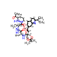 COC(=O)C1CCCN(C(=O)[C@H](C)NC(=O)[C@@H](NC(=O)C2(/C=C/c3ccc4ccc([C@@H](C)OC(C)=O)nc4c3)COC(C)(C)OC2)C(C)C)N1